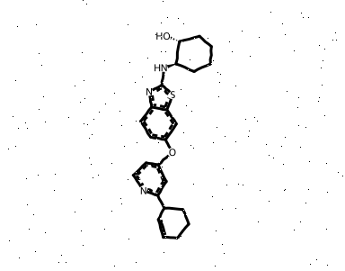 O[C@@H]1CCCC[C@H]1Nc1nc2ccc(Oc3ccnc(C4C=CCCC4)c3)cc2s1